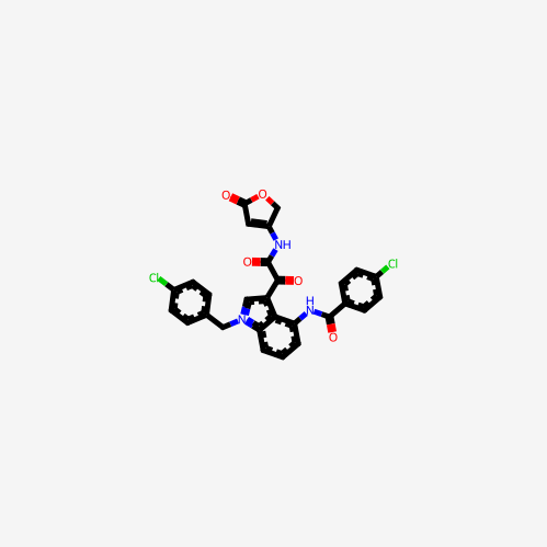 O=C1C=C(NC(=O)C(=O)c2cn(Cc3ccc(Cl)cc3)c3cccc(NC(=O)c4ccc(Cl)cc4)c23)CO1